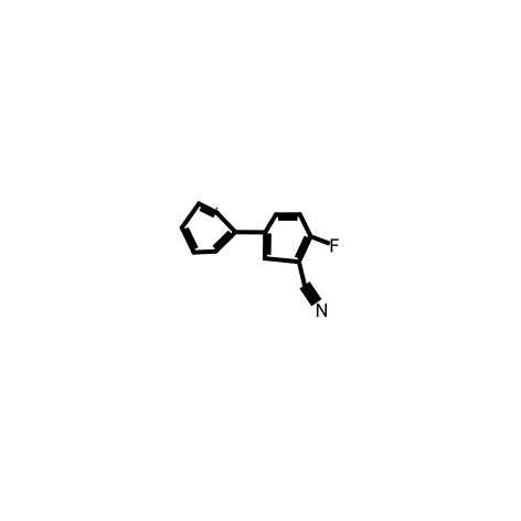 N#Cc1cc(-c2[c]cccc2)ccc1F